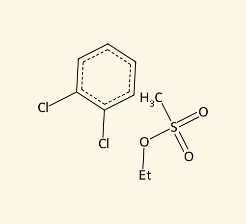 CCOS(C)(=O)=O.Clc1ccccc1Cl